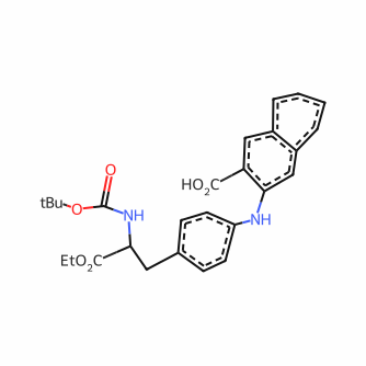 CCOC(=O)C(Cc1ccc(Nc2cc3ccccc3cc2C(=O)O)cc1)NC(=O)OC(C)(C)C